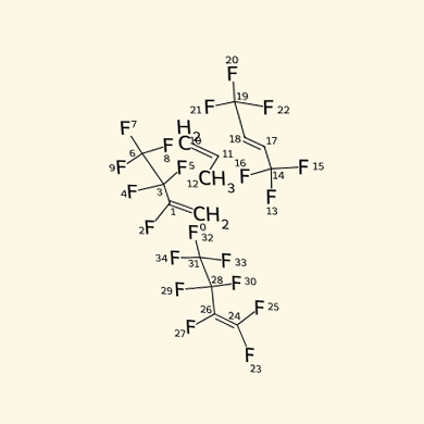 C=C(F)C(F)(F)C(F)(F)F.C=CC.FC(F)(F)C=CC(F)(F)F.FC(F)=C(F)C(F)(F)C(F)(F)F